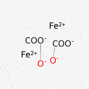 O=C([O-])[O-].O=C([O-])[O-].[Fe+2].[Fe+2]